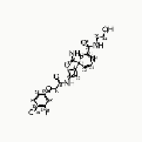 NC(=O)C1(C23CC(NC(=O)COc4ccc(Cl)c(F)c4)(C2)C3)C=CN=C(C(=O)NCCO)C1